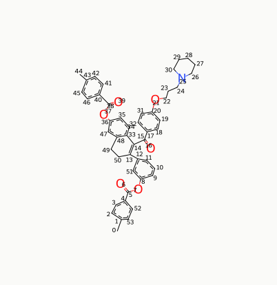 Cc1ccc(C(=O)Oc2cccc(C3=C(C(=O)c4ccc(OCCCN5CCCCC5)cc4)c4ccc(OC(=O)c5ccc(C)cc5)cc4CC3)c2)cc1